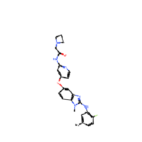 Cn1c(Nc2cc(C(C)(C)C)ccc2F)nc2cc(Oc3ccnc(NC(=O)CN4CCC4)c3)ccc21